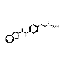 O=C(O)NCCc1ccc(NC(=O)N2Cc3ccccc3C2)cc1